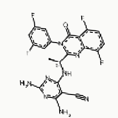 C[C@H](Nc1nc(N)nc(N)c1C#N)c1nc2c(F)ccc(F)c2c(=O)n1-c1cc(F)cc(F)c1